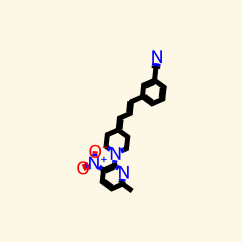 Cc1ccc([N+](=O)[O-])c(N2CCC(=CC=Cc3cccc(C#N)c3)CC2)n1